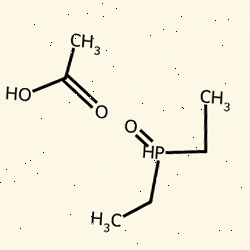 CC(=O)O.CC[PH](=O)CC